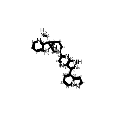 NC[C@]1(c2ncccc2F)[C@@H]2CCN(c3cnc4c(-c5cccn6nccc56)n[nH]c4n3)C[C@@H]21